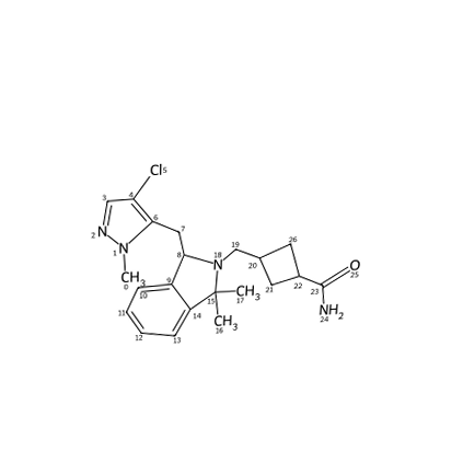 Cn1ncc(Cl)c1CC1c2ccccc2C(C)(C)N1CC1CC(C(N)=O)C1